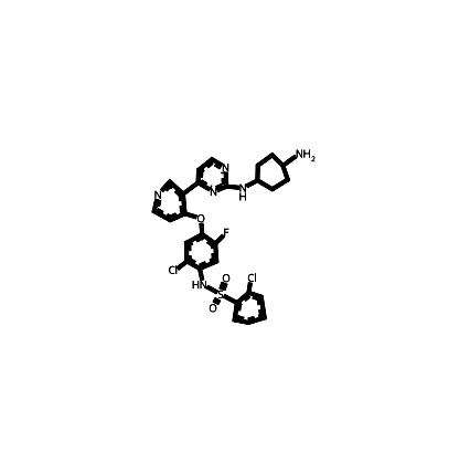 NC1CCC(Nc2nccc(-c3cnccc3Oc3cc(Cl)c(NS(=O)(=O)c4ccccc4Cl)cc3F)n2)CC1